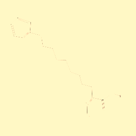 CC(C)OC(=O)C(CCCCCCCCOc1ccccc1)=NO